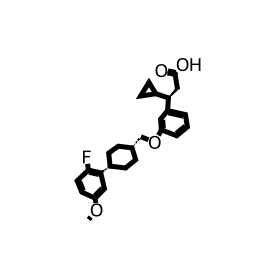 COc1ccc(F)c([C@H]2CC[C@@H](COc3cccc([C@H](CC(=O)O)C4CC4)c3)CC2)c1